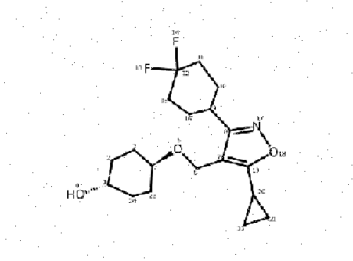 O[C@@H]1[CH]C[C@@H](OCc2c(C3CCC(F)(F)CC3)noc2C2CC2)CC1